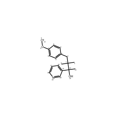 CC(C)(Cc1ccc(OC(F)(F)F)cc1)C(C)(O)c1cccnc1